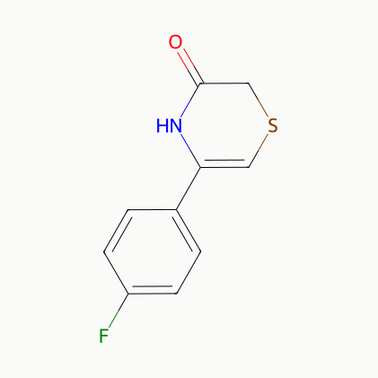 O=C1CSC=C(c2ccc(F)cc2)N1